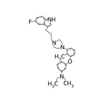 CCN(CC)c1cccc(Oc2cccc(N3CCN(CCCc4c[nH]c5ccc(F)cc45)CC3)c2C)c1